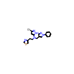 CCc1cc(N(CCc2cs[c]n2)Cc2cnn(-c3ccccc3)c2)[nH]n1